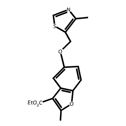 CCOC(=O)c1c(C)oc2ccc(OCc3scnc3C)cc12